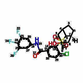 CC(C)[C@]1(O)CC2CC[C@@H](C1)C2S(=O)(=O)c1cc(C(=O)Nc2cc(F)c(F)c(F)c2)ccc1Cl